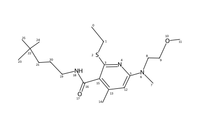 CCSc1nc(N(C)CCOC)cc(C)c1C(=O)NCCCC(C)(C)C